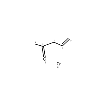 C=CCC(C)=O.[Cr]